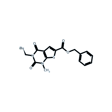 CC[C@H](C)Cn1c(=O)c2cc(C(=O)OCc3ccccc3)sc2n(C)c1=O